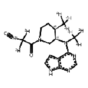 [2H]C([2H])([N+]#[C-])C(=O)N1CC[C@@H](C([2H])([2H])[2H])[C@@H](N(c2ncnc3[nH]ccc23)C([2H])([2H])[2H])C1